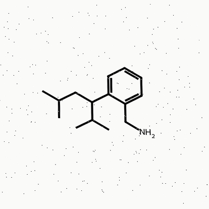 CC(C)CC(c1ccccc1CN)C(C)C